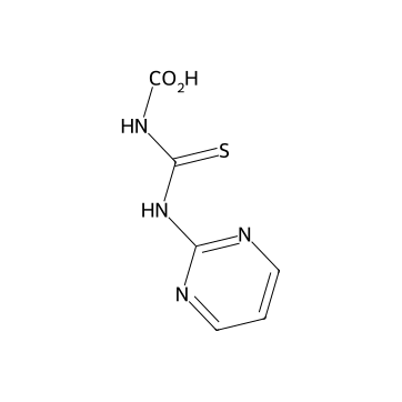 O=C(O)NC(=S)Nc1ncccn1